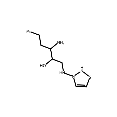 CC(C)CCC(N)C(O)CNN1C=CSN1